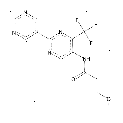 COCCC(=O)Nc1cnc(-c2cncnc2)nc1C(F)(F)F